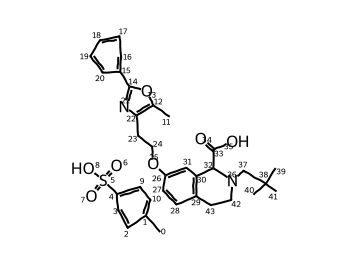 Cc1ccc(S(=O)(=O)O)cc1.Cc1oc(-c2ccccc2)nc1CCOc1ccc2c(c1)C(C(=O)O)N(CC(C)(C)C)CC2